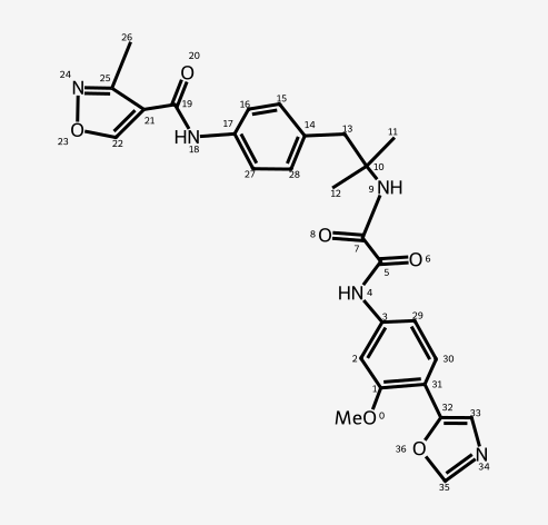 COc1cc(NC(=O)C(=O)NC(C)(C)Cc2ccc(NC(=O)c3conc3C)cc2)ccc1-c1cnco1